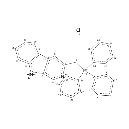 [Cl-].c1ccc([P+](Cc2cc3c(cn2)[nH]c2ccccc23)(c2ccccc2)c2ccccc2)cc1